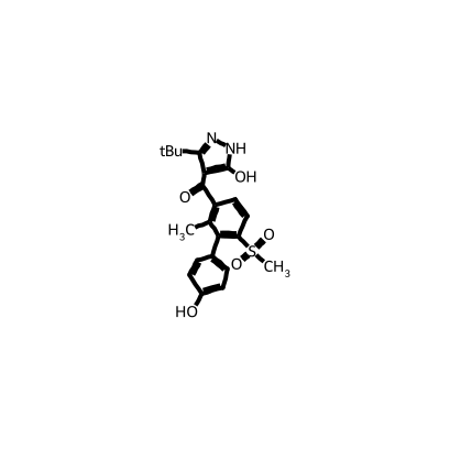 Cc1c(C(=O)c2c(C(C)(C)C)n[nH]c2O)ccc(S(C)(=O)=O)c1-c1ccc(O)cc1